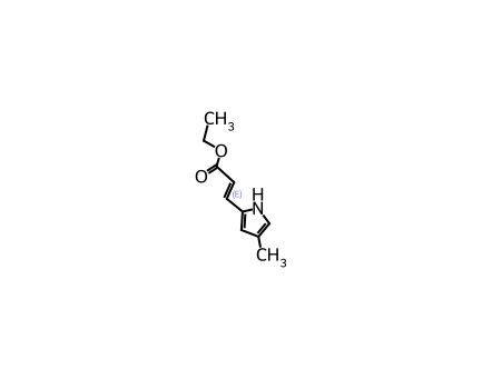 CCOC(=O)/C=C/c1cc(C)c[nH]1